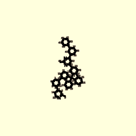 Cc1cc(-c2cccc(-c3cccc(C4(c5ccccc5)c5ccccc5-c5ccc(-c6cc(-c7cccc(-c8ccccc8)c7)nc(C)n6)cc54)c3)c2)ccn1